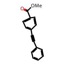 COC(=O)c1ccc(C#Cc2ccccc2)cc1